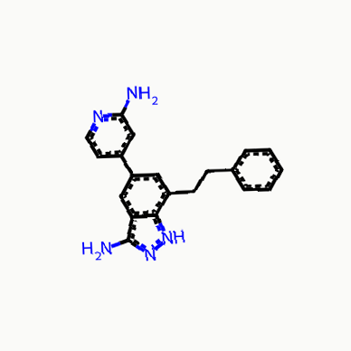 Nc1cc(-c2cc(CCc3ccccc3)c3[nH]nc(N)c3c2)ccn1